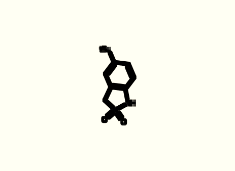 CC(C)(C)c1ccc2c(c1)CS(=O)(=O)N2